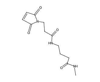 CNC(=O)CCCNC(=O)CCN1C(=O)C=CC1=O